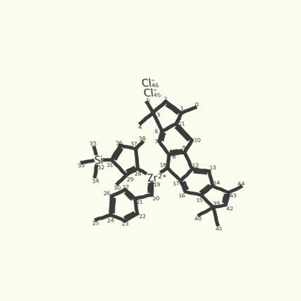 CC1=CC(C)(C)c2cc3c(cc21)-c1cc2c(cc1[CH]3/[Zr+2](=[CH]/c1ccc(C)cc1)[C]1=C(C)C([Si](C)(C)C)=CC1C)C(C)(C)C=C2C.[Cl-].[Cl-]